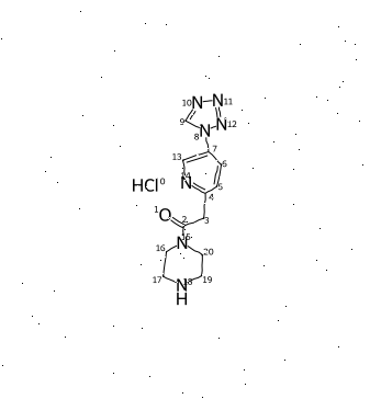 Cl.O=C(Cc1ccc(-n2cnnn2)cn1)N1CCNCC1